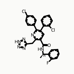 C[C@@H](NC(=O)c1cc(-c2ccccc2Cl)c(-c2ccc(Cl)cc2)nc1Cc1nn[nH]n1)c1ccccc1F